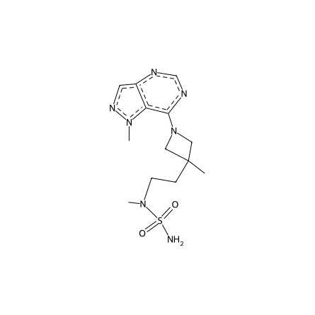 CN(CCC1(C)CN(c2ncnc3cnn(C)c23)C1)S(N)(=O)=O